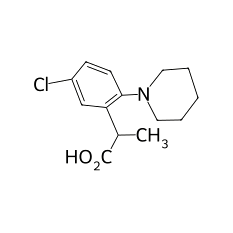 CC(C(=O)O)c1cc(Cl)ccc1N1CCCCC1